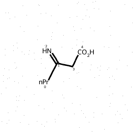 CCCC(=N)CC(=O)O